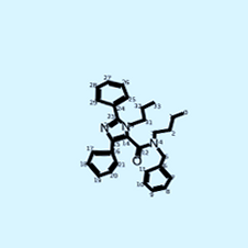 CCCCN(Cc1ccccc1)C(=O)c1c(-c2ccccc2)nc(-c2ccccc2)n1CCC